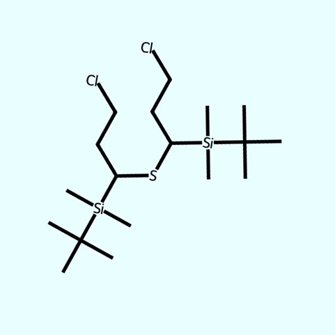 CC(C)(C)[Si](C)(C)C(CCCl)SC(CCCl)[Si](C)(C)C(C)(C)C